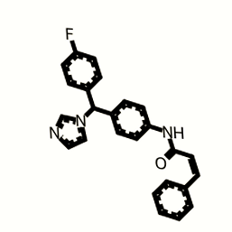 O=C(/C=C\c1ccccc1)Nc1ccc(C(c2ccc(F)cc2)n2ccnc2)cc1